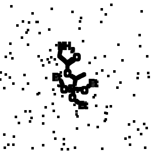 CCO[Si](OCC)(OCC)C(C)OC(=O)CN